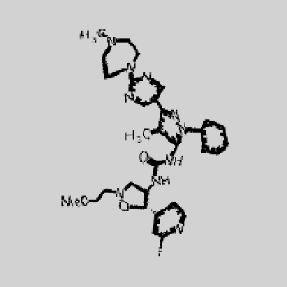 COCCN1C[C@@H](NC(=O)Nc2c(C)c(-c3cnc(N4CCN(C)CC4)nc3)nn2-c2ccccc2)[C@H](c2ccnc(F)c2)O1